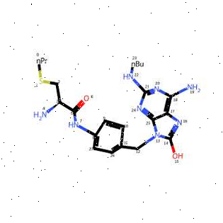 [CH2][CH]CSC[C@H](N)C(=O)Nc1ccc(Cn2c(O)nc3c(N)nc(NCCCC)nc32)cc1